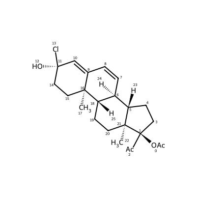 CC(=O)O[C@]1(C(C)=O)CC[C@H]2[C@@H]3C=CC4=C[C@](O)(Cl)CC[C@]4(C)[C@H]3CC[C@@]21C